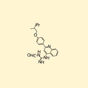 CC(C)C(C)COc1ccc(-c2cc(NC(=N)NC=O)c3ccccc3n2)cc1